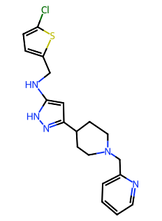 Clc1ccc(CNc2cc(C3CCN(Cc4ccccn4)CC3)n[nH]2)s1